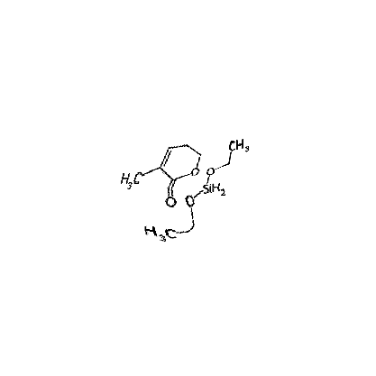 CC1=CCCOC1=O.CCO[SiH2]OCC